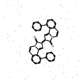 O=C1/C(=C2\C=C3c4c(cccc4-c4ccccc4)C=CN3C2=O)C=C2c3c(cccc3-c3ccccc3)C=CN12